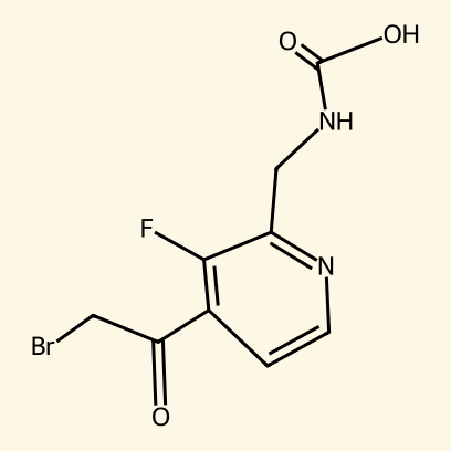 O=C(O)NCc1nccc(C(=O)CBr)c1F